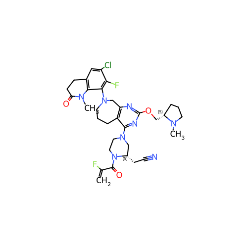 C=C(F)C(=O)N1CCN(c2nc(OC[C@@H]3CCCN3C)nc3c2CCCN(c2c(F)c(Cl)cc4c2N(C)C(=O)CC4)C3)C[C@@H]1CC#N